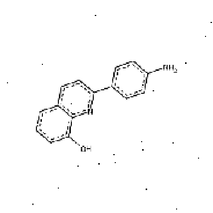 Nc1ccc(-c2ccc3cccc(O)c3n2)cc1